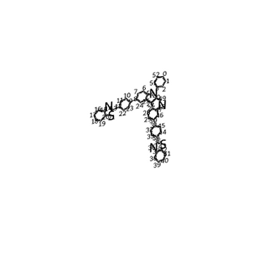 c1ccc(-n2c3ccc(-c4ccc(-c5nc6ccccc6s5)cc4)cc3c3c4ccc(-c5ccc(-c6nc7ccccc7s6)cc5)cc4ncc32)cc1